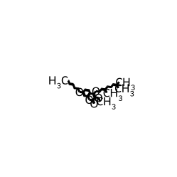 CCC=CCCOc1ccc2c(OC/C=C(\C)CCC=C(C)C)c(OC)c(=O)oc2c1